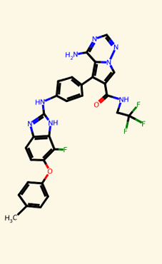 Cc1ccc(Oc2ccc3nc(Nc4ccc(-c5c(C(=O)NCC(F)(F)F)cn6ncnc(N)c56)cc4)[nH]c3c2F)cc1